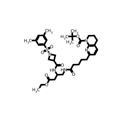 CCOC(=O)CC(CNC(=O)CCCCc1ccc2c(n1)N(C(=O)OC(C)(C)C)CCC2)NC(=O)C1CN(S(=O)(=O)c2cc(C)cc(C)c2)C1